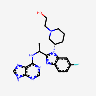 C[C@H](Nc1ncnc2[nH]cnc12)c1nc2ccc(F)cc2n1[C@H]1CCCN(CCO)C1